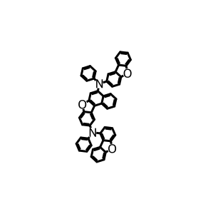 c1ccc(N(c2ccc3oc4ccccc4c3c2)c2cc3oc4ccc(N(c5ccccc5)c5cccc6oc7ccccc7c56)cc4c3c3ccccc23)cc1